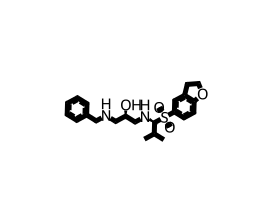 CC(C)[C@@H](NC[C@H](O)CNCc1ccccc1)S(=O)(=O)c1ccc2c(c1)CCO2